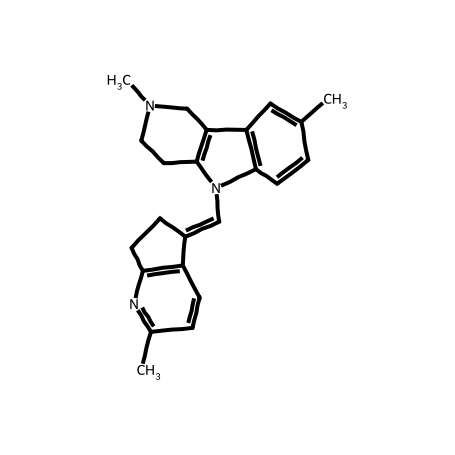 Cc1ccc2c(c1)c1c(n2/C=C2\CCc3nc(C)ccc32)CCN(C)C1